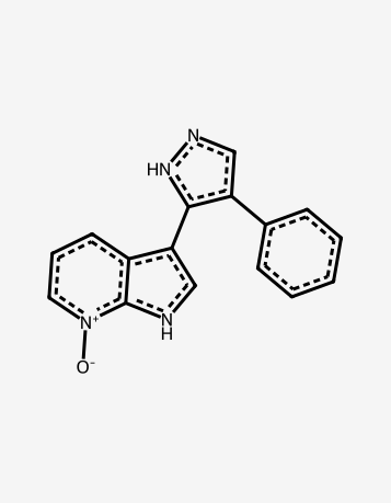 [O-][n+]1cccc2c(-c3[nH]ncc3-c3ccccc3)c[nH]c21